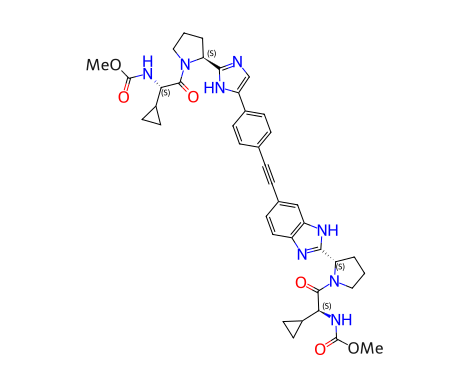 COC(=O)N[C@H](C(=O)N1CCC[C@H]1c1ncc(-c2ccc(C#Cc3ccc4nc([C@@H]5CCCN5C(=O)[C@@H](NC(=O)OC)C5CC5)[nH]c4c3)cc2)[nH]1)C1CC1